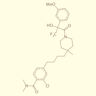 COc1cccc(C(O)(C(=O)N2CCC(C)(CCCCc3ccc(C(=O)N(C)C)c(Cl)c3)CC2)C(F)(F)F)c1